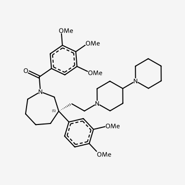 COc1ccc([C@@]2(CCN3CCC(N4CCCCC4)CC3)CCCCN(C(=O)c3cc(OC)c(OC)c(OC)c3)C2)cc1OC